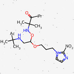 CC(=O)C(C)(C)NCC(OCCCn1ccnc1[N+](=O)[O-])ONC(C)(C)C(=O)C(C)C